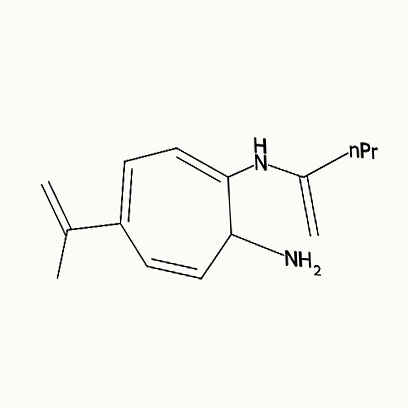 C=C(CCC)NC1=CC=C(C(=C)C)C=CC1N